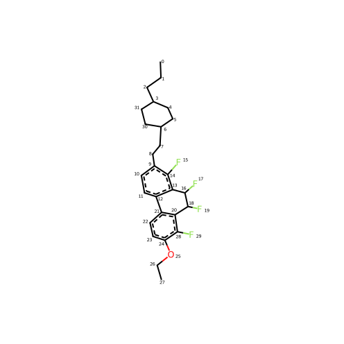 CCCC1CCC(CCc2ccc3c(c2F)C(F)C(F)c2c-3ccc(OCC)c2F)CC1